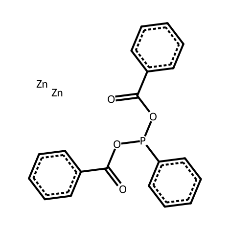 O=C(OP(OC(=O)c1ccccc1)c1ccccc1)c1ccccc1.[Zn].[Zn]